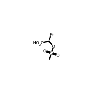 CC[C@@H](OS(C)(=O)=O)C(=O)O